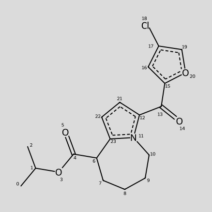 CC(C)OC(=O)C1CCCCn2c(C(=O)c3cc(Cl)co3)ccc21